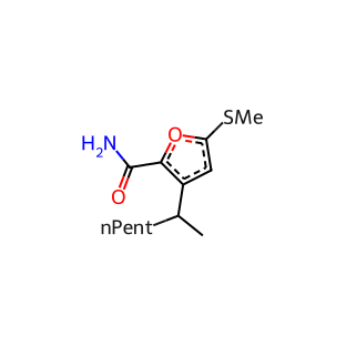 CCCCCC(C)c1cc(SC)oc1C(N)=O